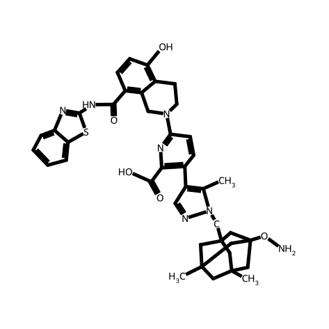 Cc1c(-c2ccc(N3CCc4c(O)ccc(C(=O)Nc5nc6ccccc6s5)c4C3)nc2C(=O)O)cnn1CC12CC3(C)CC(C)(C1)CC(ON)(C3)C2